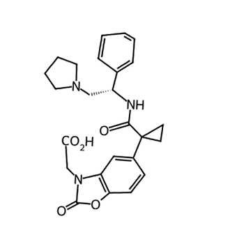 O=C(O)Cn1c(=O)oc2ccc(C3(C(=O)N[C@H](CN4CCCC4)c4ccccc4)CC3)cc21